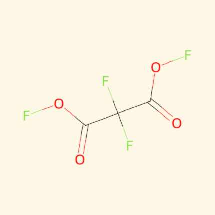 O=C(OF)C(F)(F)C(=O)OF